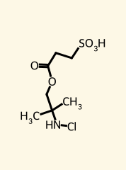 CC(C)(COC(=O)CCS(=O)(=O)O)NCl